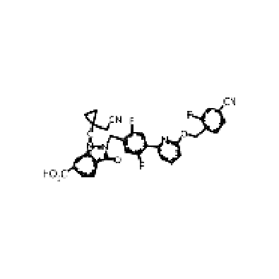 N#CCC1(Cn2c3cc(C(=O)O)ccc3c(=O)n2Cc2cc(F)c(-c3cccc(OCc4ccc(C#N)cc4F)n3)cc2F)CC1